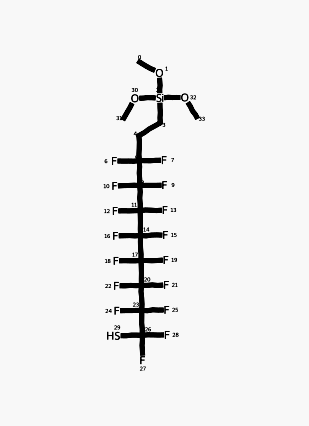 CO[Si](CCC(F)(F)C(F)(F)C(F)(F)C(F)(F)C(F)(F)C(F)(F)C(F)(F)C(F)(F)S)(OC)OC